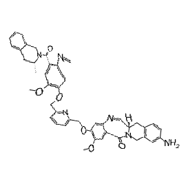 C=Nc1cc(OCc2cccc(COc3cc4c(cc3OC)C(=O)N3Cc5cc(N)ccc5C[C@H]3C=N4)n2)c(OC)cc1C(=O)N1Cc2ccccc2C[C@H]1C